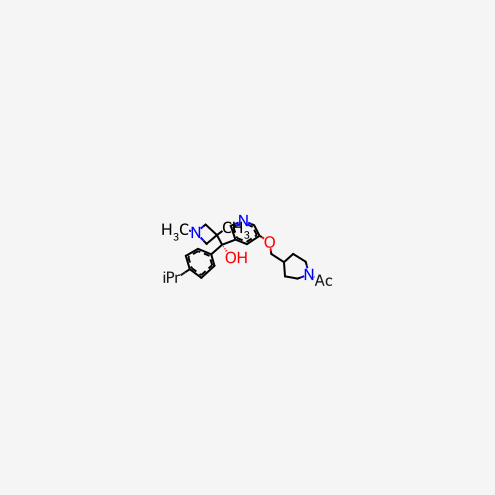 CC(=O)N1CCC(COc2cncc([C@@](O)(c3ccc(C(C)C)cc3)C3(C)CN(C)C3)c2)CC1